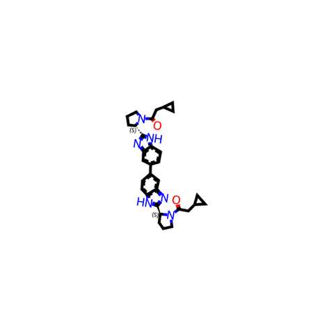 O=C(CC1CC1)N1CCC[C@H]1c1nc2cc(-c3ccc4[nH]c([C@@H]5CCCN5C(=O)CC5CC5)nc4c3)ccc2[nH]1